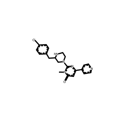 Cn1c(N2CCNC(Cc3ccc(Cl)cc3)C2)nc(-c2ccncc2)cc1=O